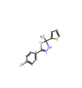 CC1(c2cccs2)NN=C(c2ccc(Cl)cc2)S1